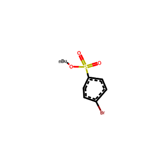 CCCCOS(=O)(=O)c1ccc(Br)cc1